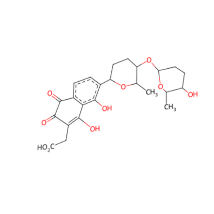 CC1OC(OC2CCC(c3ccc4c(c3O)C(O)=C(CC(=O)O)C(=O)C4=O)OC2C)CCC1O